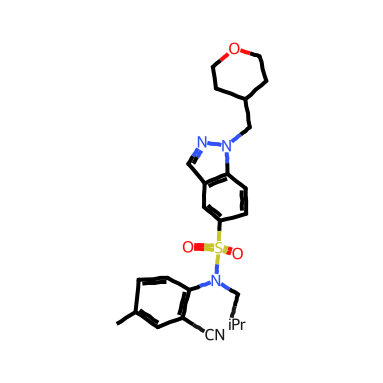 Cc1ccc(N(CC(C)C)S(=O)(=O)c2ccc3c(cnn3CC3CCOCC3)c2)c(C#N)c1